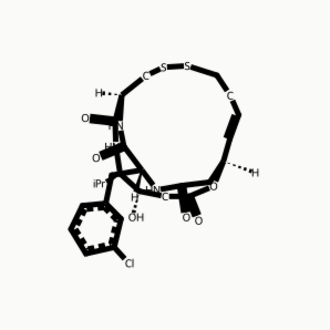 CC(C)[C@H]1NC(=O)[C@H]2CSSCC/C=C/[C@H](CC(=O)N[C@H](Cc3cccc(Cl)c3)C(=O)N2)OC(=O)C[C@@H]1O